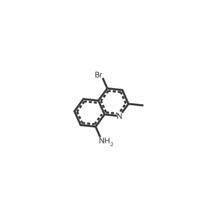 Cc1cc(Br)c2cccc(N)c2n1